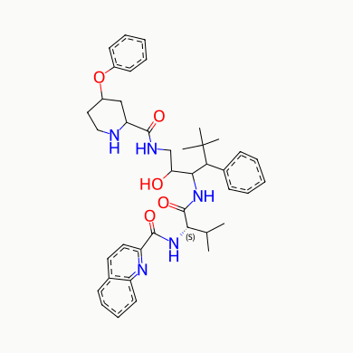 CC(C)[C@H](NC(=O)c1ccc2ccccc2n1)C(=O)NC(C(O)CNC(=O)C1CC(Oc2ccccc2)CCN1)C(c1ccccc1)C(C)(C)C